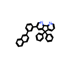 c1ccc(C2(c3ccccc3)c3cccnc3-c3ncc(-c4cccc(-c5ccc6ccccc6c5)c4)cc32)cc1